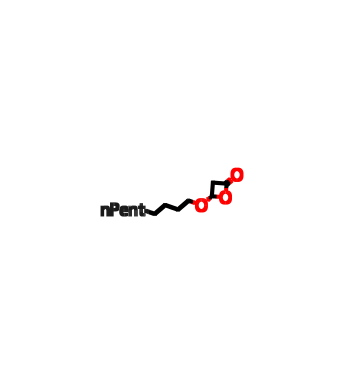 CCCCCCCCCO[C@H]1CC(=O)O1